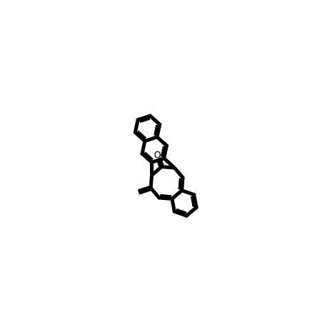 C=C1/C=c2/cccc/c2=C/C2C(=O)C1c1cc3ccccc3cc12